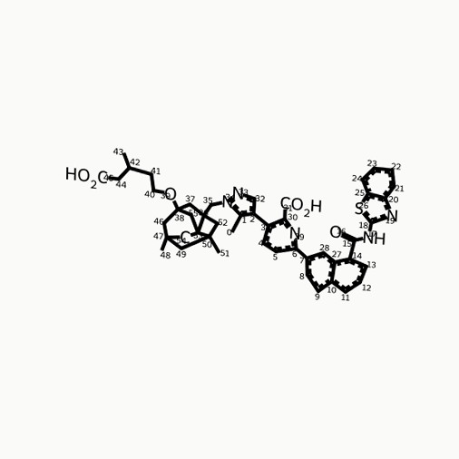 Cc1c(-c2ccc(-c3ccc4cccc(C(=O)Nc5nc6ccccc6s5)c4c3)nc2C(=O)O)cnn1CC12CC3(OCCC(C)CC(=O)O)CC4(C)CC(C)(C1)C2(C4)C3